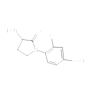 NC1CCN(c2ccc(C(=O)O)cc2F)C1=O